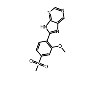 COc1cc(S(C)(=O)=O)ccc1-c1nc2cncnc2[nH]1